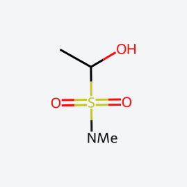 CNS(=O)(=O)C(C)O